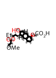 CC[C@@H](CC[C@@H]1[C@H]2Cc3cccc(OCC(=O)O)c3C[C@H]2C[C@H]1O)OC(=O)CCOC